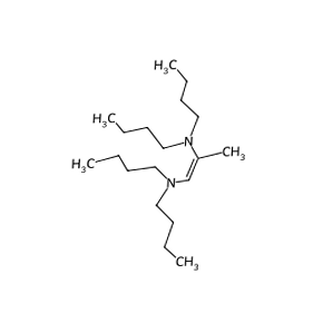 CCCCN(C=C(C)N(CCCC)CCCC)CCCC